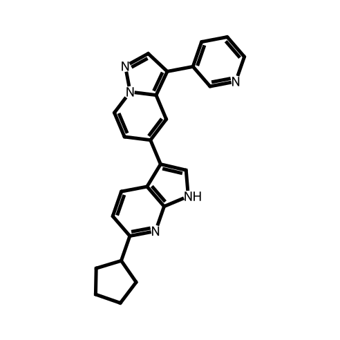 c1cncc(-c2cnn3ccc(-c4c[nH]c5nc(C6CCCC6)ccc45)cc23)c1